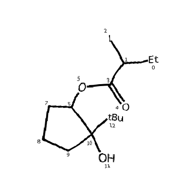 CCC(I)C(=O)OC1CCCC1(O)C(C)(C)C